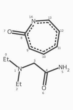 CCN(CC)CC(N)=O.O=c1cccccn1